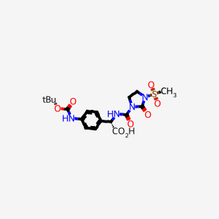 CC(C)(C)OC(=O)Nc1ccc([C@H](NC(=O)N2CCN(S(C)(=O)=O)C2=O)C(=O)O)cc1